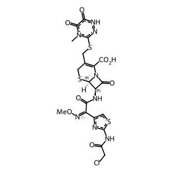 CO/N=C(\C(=O)N[C@@H]1C(=O)N2C(C(=O)O)=C(CSc3n[nH]c(=O)c(=O)n3C)CS[C@H]12)c1csc(NC(=O)CCl)n1